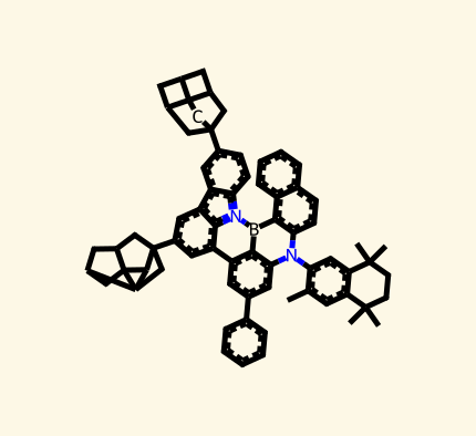 Cc1cc2c(cc1N1c3cc(-c4ccccc4)cc4c3B(c3c1ccc1ccccc31)n1c3ccc(C56CC7CC8CC(C5)C87C6)cc3c3cc(C56CC7CC8CC79C5C89C6)cc-4c31)C(C)(C)CCC2(C)C